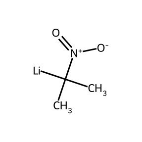 [Li][C](C)(C)[N+](=O)[O-]